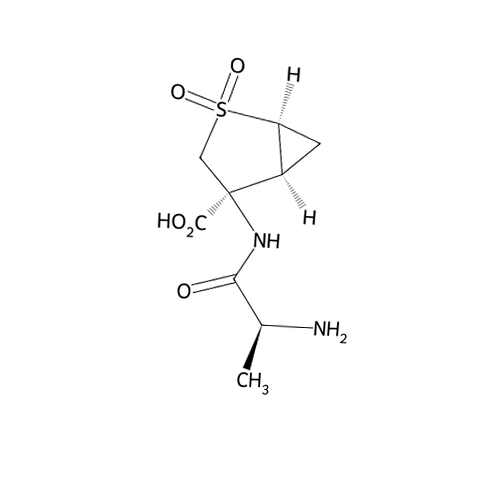 C[C@H](N)C(=O)N[C@@]1(C(=O)O)CS(=O)(=O)[C@H]2C[C@H]21